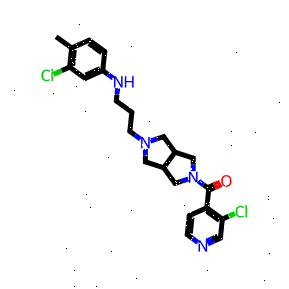 Cc1ccc(NCCCN2CC3CN(C(=O)c4ccncc4Cl)CC3C2)cc1Cl